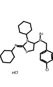 CC(=O)N(Cc1ccc(Cl)cc1)C1CSC(=NC2CCCCC2)N1C1CCCCC1.Cl